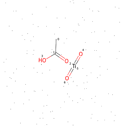 CC(=O)O.[O]=[Ti]=[O]